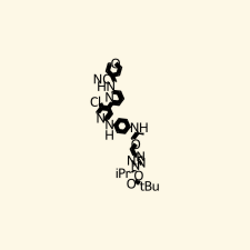 CC(C)[C@@H](OC(=O)C(C)(C)C)n1nnc(COC[C@H](C)N[C@H]2CC[C@H](Nc3cc(-c4cccc(NCC5(C#N)CCOCC5)n4)c(Cl)cn3)CC2)n1